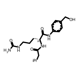 CC(C)CC(=O)N[C@H](CCCNC(N)=O)C(=O)Nc1ccc(CO)cc1